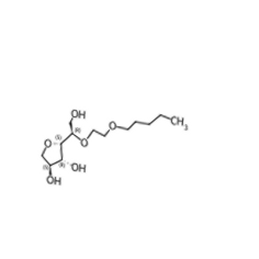 CCCCCOCCO[C@H](CO)[C@H]1OC[C@H](O)[C@H]1O